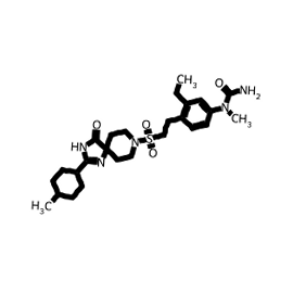 CCc1cc(N(C)C(N)=O)ccc1CCS(=O)(=O)N1CCC2(CC1)N=C(C1CCC(C)CC1)NC2=O